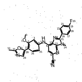 COc1cc(Nc2cc(C#N)nc3c2nc(-c2ccc(F)cc2)n3C)ccc1-c1cnc(C)o1